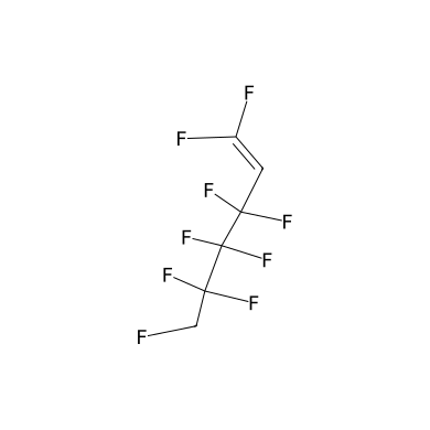 FCC(F)(F)C(F)(F)C(F)(F)C=C(F)F